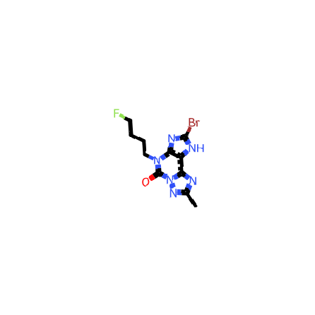 Cc1nc2c3[nH]c(Br)nc3n(CCCCF)c(=O)n2n1